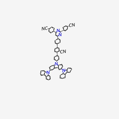 N#Cc1ccc(-c2cc(-c3ccc(-c4ccc(-c5ccc(-n6c7ccc(-n8c9ccccc9c9ccccc98)cc7c7cc(-n8c9ccccc9c9ccccc98)ccc76)cc5)c(C#N)c4)cc3)nc(-c3ccc(C#N)cc3)n2)cc1